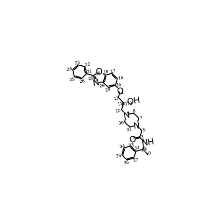 C[C@H](NC(=O)CN1CCN(C[C@@H](O)COc2ccc3oc(-c4ccccc4)nc3c2)CC1)c1ccccc1